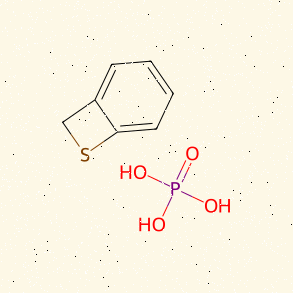 O=P(O)(O)O.c1ccc2c(c1)CS2